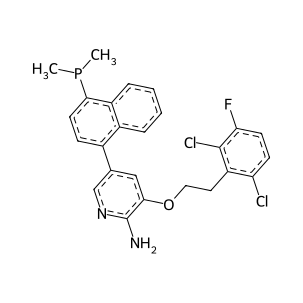 CP(C)c1ccc(-c2cnc(N)c(OCCc3c(Cl)ccc(F)c3Cl)c2)c2ccccc12